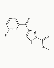 COC(=O)c1cc(C(=O)c2cccc(F)c2)c[nH]1